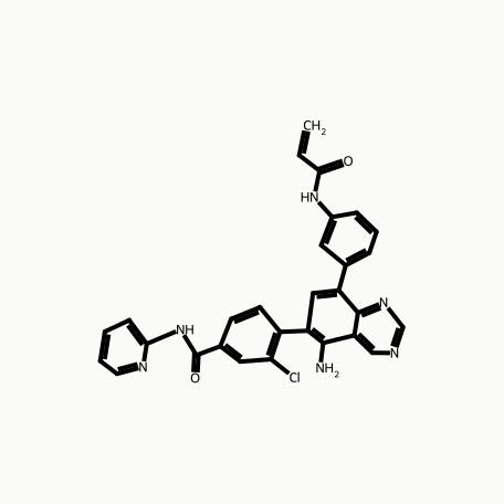 C=CC(=O)Nc1cccc(-c2cc(-c3ccc(C(=O)Nc4ccccn4)cc3Cl)c(N)c3cncnc23)c1